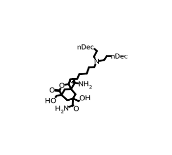 CCCCCCCCCCCCN(CCCCCCCCCCCC)CCCCCCC1OC(=O)C2(CO)CC(CO)(C(N)=O)CC1(C(N)=O)C2